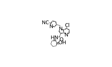 N#Cc1ccc(Cn2cc(C(=O)N[C@H]3CCCC[C@@H]3O)c3nccc(Cl)c32)cn1